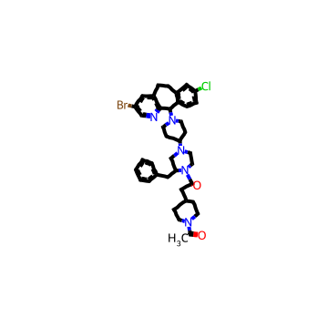 CC(=O)N1CCC(CC(=O)N2CCN(C3CCN(C4c5ccc(Cl)cc5CCc5cc(Br)cnc54)CC3)CC2Cc2ccccc2)CC1